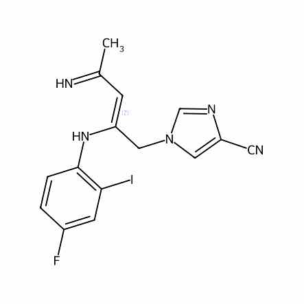 CC(=N)/C=C(/Cn1cnc(C#N)c1)Nc1ccc(F)cc1I